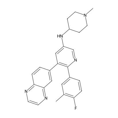 Cc1cc(-c2ncc(NC3CCN(C)CC3)cc2-c2ccc3nccnc3c2)ccc1F